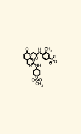 Cc1cc(S(=O)(=O)Cl)ccc1NC(=O)Cn1c(=O)ccc2cnc(NC3CCN(S(C)(=O)=O)CC3)nc21